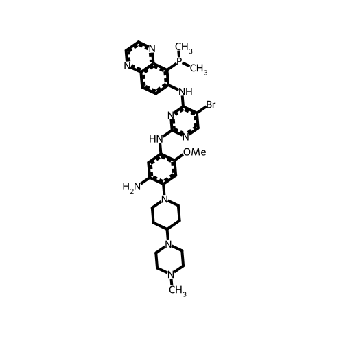 COc1cc(N2CCC(N3CCN(C)CC3)CC2)c(N)cc1Nc1ncc(Br)c(Nc2ccc3nccnc3c2P(C)C)n1